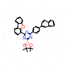 CC1(C)OB(c2nc(-c3ccc(-c4ccc5ccccc5c4)cc3)nc(-c3cccc4c3oc3ccccc34)n2)OC1(C)C